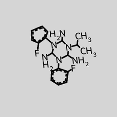 CC(C)N1C(N)N(c2ccccc2F)C(N)N(c2ccccc2F)C1N